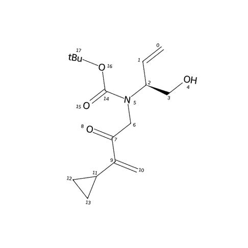 C=C[C@@H](CO)N(CC(=O)C(=C)C1CC1)C(=O)OC(C)(C)C